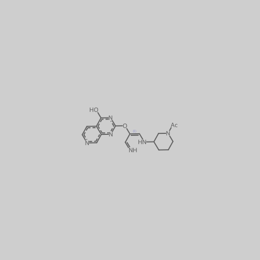 CC(=O)N1CCCC(N/C=C(\C=N)Oc2nc(O)c3ccncc3n2)C1